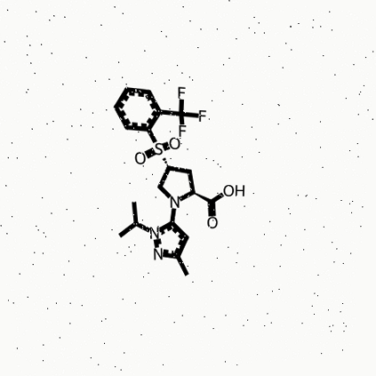 Cc1cc(N2C[C@H](S(=O)(=O)c3ccccc3C(F)(F)F)C[C@H]2C(=O)O)n(C(C)C)n1